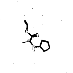 CCOC(=O)[C@H](C)NC1CCCC1